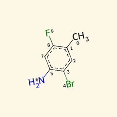 Cc1cc(Br)c(N)cc1F